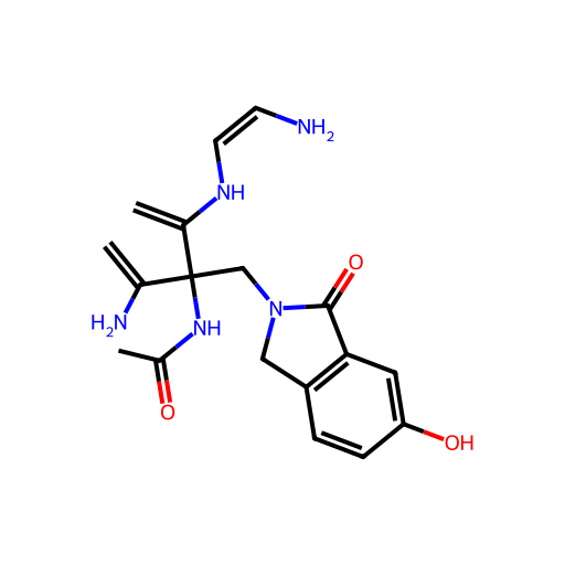 C=C(N)C(CN1Cc2ccc(O)cc2C1=O)(NC(C)=O)C(=C)N/C=C\N